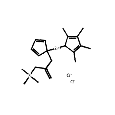 C=C(C[C]1([Zr+2][CH]2C(C)=C(C)C(C)=C2C)C=CC=C1)C[Si](C)(C)C.[Cl-].[Cl-]